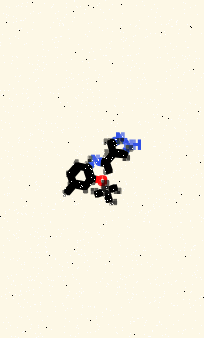 CC(=Nc1ccc(C)cc1O[Si](C)(C)C)c1cn[nH]c1